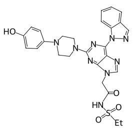 CCS(=O)(=O)NC(=O)Cn1cnc2c(-n3ncc4ccccc43)nc(N3CCN(c4ccc(O)cc4)CC3)nc21